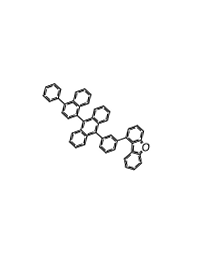 c1ccc(-c2ccc(-c3c4ccccc4c(-c4cccc(-c5cccc6oc7ccccc7c56)c4)c4ccccc34)c3ccccc23)cc1